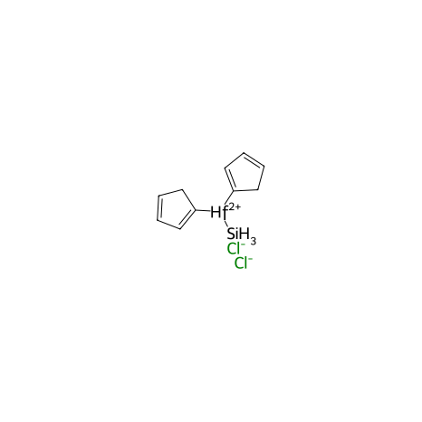 [Cl-].[Cl-].[SiH3][Hf+2]([C]1=CC=CC1)[C]1=CC=CC1